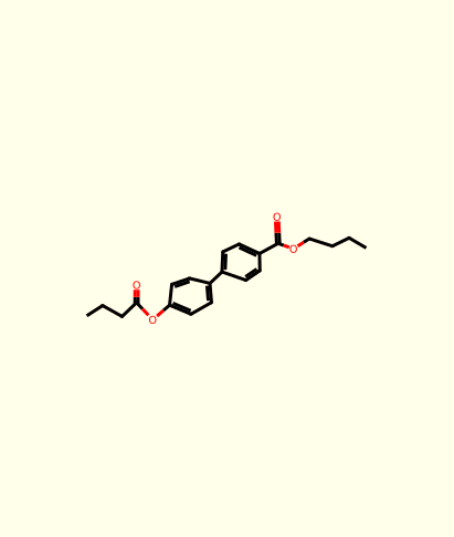 CCCCOC(=O)c1ccc(-c2ccc(OC(=O)CCC)cc2)cc1